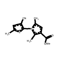 COC(=O)c1cc(C)n(-c2sc(C)cc2C#N)c1C